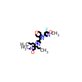 CCCCC(n1cc(-c2nn(-c3cnc(OC)c(F)c3)c3c2CCOCC3)cn1)C1(CCCC)CC(=O)N(CC)C1